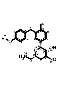 CCOc1ccc(Cc2cc([C@@H]3O[C@H](CN)CC(N=O)[C@H]3O)ccc2C)cc1